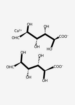 O=C[C@@H](O)[C@@H](O)[C@H](O)[C@H](O)C(=O)[O-].O=C[C@@H](O)[C@@H](O)[C@H](O)[C@H](O)C(=O)[O-].[Ca+2]